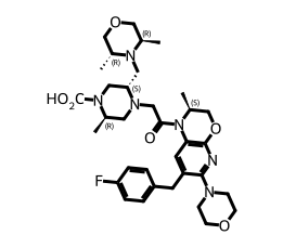 C[C@@H]1CN(CC(=O)N2c3cc(Cc4ccc(F)cc4)c(N4CCOCC4)nc3OC[C@@H]2C)[C@@H](CN2[C@H](C)COC[C@H]2C)CN1C(=O)O